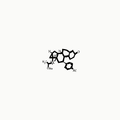 COC(C)OC12C[C@@H]1C[C@H]1[C@@H]3CCC4=CC(=O)CCC4=C3[C@@H](c3ccc(C(C)=O)cc3)C[C@@]12C